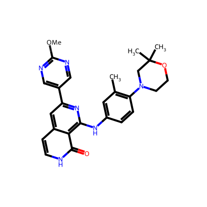 COc1ncc(-c2cc3cc[nH]c(=O)c3c(Nc3ccc(N4CCOC(C)(C)C4)c(C)c3)n2)cn1